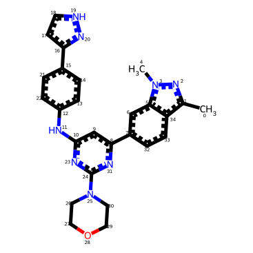 Cc1nn(C)c2cc(-c3cc(Nc4ccc(-c5cc[nH]n5)cc4)nc(N4CCOCC4)n3)ccc12